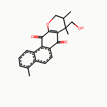 Cc1cccc2c3c(ccc12)C(=O)C1=C(OCC(C)C1(C)CO)C3=O